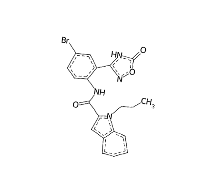 CCCn1c(C(=O)Nc2ccc(Br)cc2-c2noc(=O)[nH]2)cc2ccccc21